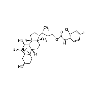 CC[C@@H]1C2C[C@H](O)CCC2(C)[C@H]2CCC3(C)[C@@H]([C@H](C)CCOC(=O)Nc4ccc(F)cc4Cl)CC[C@H]3C2[C@@H]1O